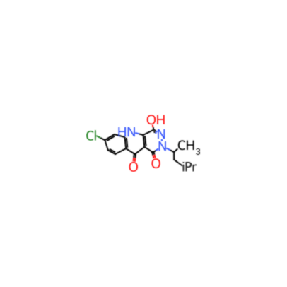 CC(C)CC(C)n1nc(O)c2[nH]c3cc(Cl)ccc3c(=O)c2c1=O